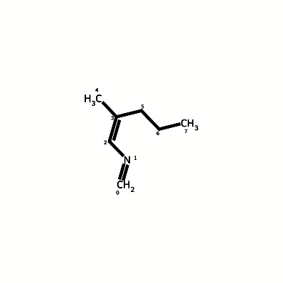 C=N/C=C(/C)CCC